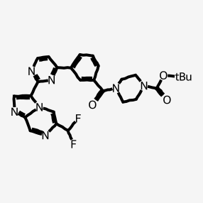 CC(C)(C)OC(=O)N1CCN(C(=O)c2cccc(-c3ccnc(-c4cnc5cnc(C(F)F)cn45)n3)c2)CC1